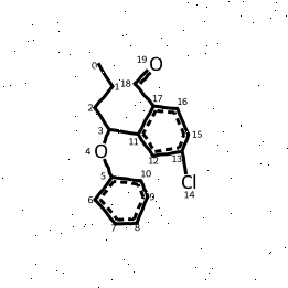 CCCC(Oc1ccccc1)c1cc(Cl)ccc1C=O